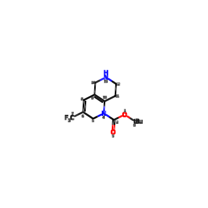 CC(C)(C)OC(=O)N1CC(C(F)(F)F)=CC2=C1CCNC2